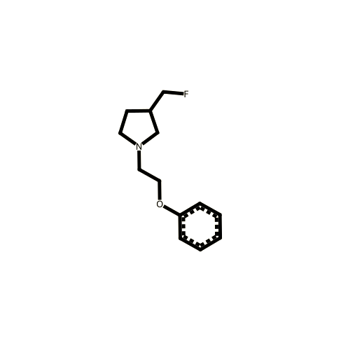 FCC1CCN(CCOc2ccccc2)C1